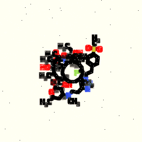 C=C1CC[C@@H]2[C@@H](C)/C(=N/C(C)=O)[C@H](C)C[C@@](C)(CC1)[C@H](O[C@@H]1O[C@H](C)C[C@H](N(C)CCc3cn([C@H](CF)Cc4ccc(S(C)(=O)=O)cc4)nn3)[C@H]1O)[C@@H](C)[C@H](O)[C@@H](C)C(=O)O[C@H](CC)[C@@]2(C)O